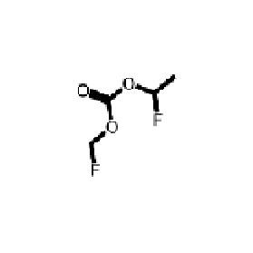 CC(F)OC(=O)OCF